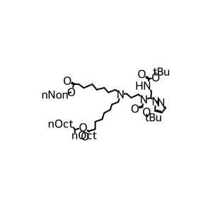 CCCCCCCCCOC(=O)CCCCCCCN(CCCCCCCC(=O)OC(CCCCCCCC)CCCCCCCC)CCCN(C(=O)OC(C)(C)C)C(CNC(=O)OC(C)(C)C)n1cccn1